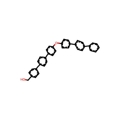 OCc1ccc(-c2ccc(-c3ccc(Oc4ccc(-c5ccc(-c6ccccc6)cc5)cc4)cc3)cc2)cc1